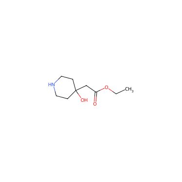 CCOC(=O)CC1(O)CCNCC1